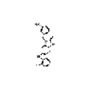 Cc1cccc(CN2C(=O)NC(Cc3c[nH]c4c(Cl)cccc34)C2=O)c1